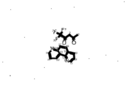 CC(=O)CC(=O)C(F)(F)F.c1cnc2c(c1)ccc1ncccc12